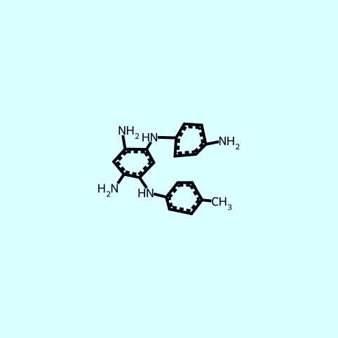 Cc1ccc(Nc2cc(Nc3ccc(N)cc3)c(N)cc2N)cc1